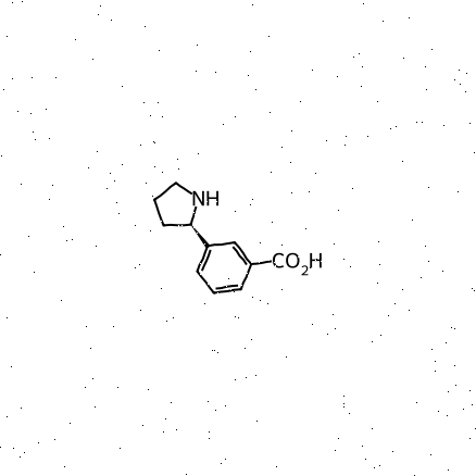 O=C(O)c1cccc([C@H]2CCCN2)c1